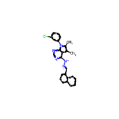 Cc1c(C)n(-c2cccc(Cl)c2)c2ncnc(N/N=C/c3cccc4ccccc34)c12